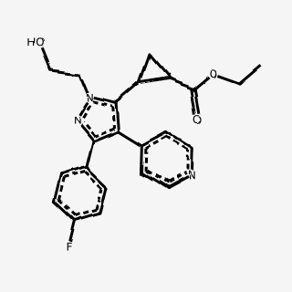 CCOC(=O)C1CC1c1c(-c2ccncc2)c(-c2ccc(F)cc2)nn1CCO